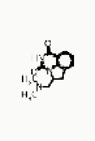 CN(C)CC1Cc2cccc3c(=O)[nH]c(=O)n1c23